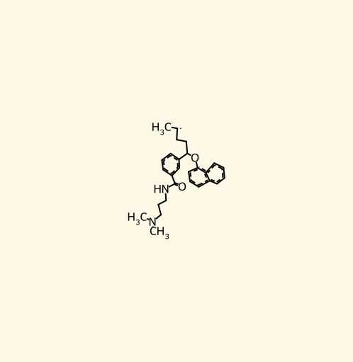 C[CH]CCC(Oc1cccc2ccccc12)c1cccc(C(=O)NCCCN(C)C)c1